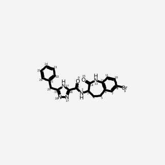 O=C(NC1CCc2cc(Br)ccc2NC1=O)c1nnc(Cc2ccccc2)[nH]1